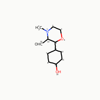 CN1CCOC(C2CCC(O)CC2)C1C=O